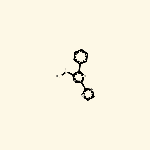 CNc1sc(-c2ncco2)nc1-c1ccccc1